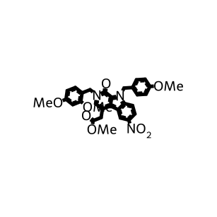 COC(=O)Cc1cn(Cc2ccc(OC)cc2OC)c(=O)c2c1c1cc([N+](=O)[O-])ccc1n2Cc1ccc(OC)cc1